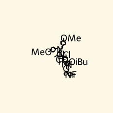 COc1ccc(CN(Cc2ccc(OC)cc2)c2cc(C)c(C(F)(F)F)c(-c3c(Cl)cc4c(OCC(C)C)nc(OC[C@@]56CCCN5C[C@H](F)C6)nc4c3F)n2)cc1